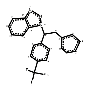 FC(F)(F)c1ccc(C(Cc2cc[c]cc2)n2nnc3ccccc32)cc1